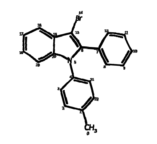 Cc1ccc(-n2c(-c3ccccc3)c(Br)c3ccccc32)cc1